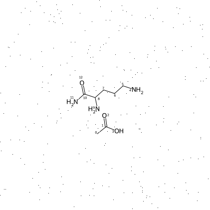 CC(=O)O.NCCCC(N)C(N)=O